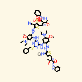 [C-]#[N+]c1cc(/C=C(\C(C)=O)C(=O)Nc2ccccc2)sc1/N=N/c1cc(OC)c(N(CC)CC)cc1Nc1nc(Nc2cc(N(CC)CC)c(OC)cc2/N=N/c2sc(/C=C(/C(C)=O)C(=O)Nc3ccccc3)c(S(=O)(=O)O)c2C#N)nc(SCc2ccccc2)n1